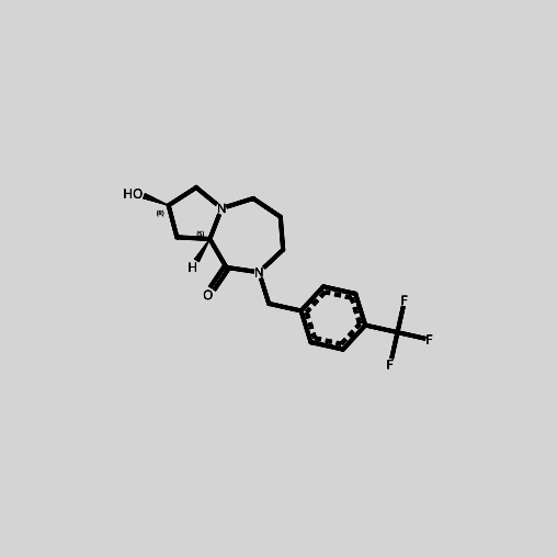 O=C1[C@@H]2C[C@@H](O)CN2CCCN1Cc1ccc(C(F)(F)F)cc1